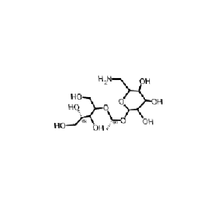 C[C@H](OC(CO)C(O)[C@@H](O)CO)OC1OC(CN)C(O)C(O)C1O